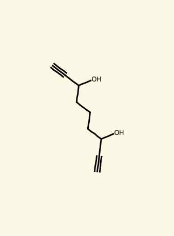 C#CC(O)CCCC(O)C#C